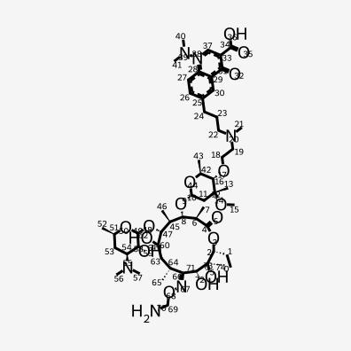 CC[C@H]1OC(=O)[C@H](C)[C@@H](O[C@H]2C[C@@](C)(OC)[C@@H](OCCN(C)CCCc3ccc4c(c3)c(=O)c(C(=O)O)cn4N(C)C)[C@H](C)O2)[C@H](C)[C@@H](O[C@@H]2O[C@H](C)C[C@H](N(C)C)[C@H]2O)[C@](C)(O)C[C@@H](C)/C(=N\OCN)[C@@H](O)[C@]1(C)O